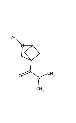 CC(C)N1CC2(C(=O)N(C)C)CC1C2